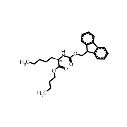 CCCCC[C@@H](NC(=O)OCC1c2ccccc2-c2ccccc21)C(=O)OCCCC